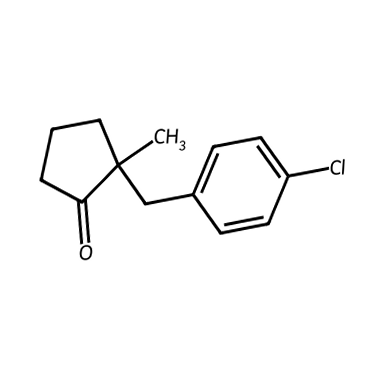 CC1(Cc2ccc(Cl)cc2)CCCC1=O